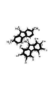 Cc1ccc2c(c1)C(O)c1cc(C)ccc1-2.OC1c2c(F)c(F)c(F)c(F)c2-c2c(F)c(F)c(F)c(F)c21